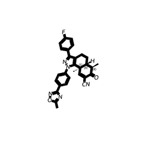 Cc1nc(-c2ccc(-n3nc(-c4ccc(F)cc4)c4c3[C@]3(C)C=C(C#N)C(=O)[C@H](C)[C@H]3CC4)cc2)no1